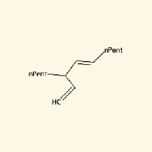 [CH]=CC(C=CCCCCC)CCCCC